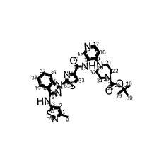 Cc1cc(Nc2nn(-c3nc(C(=O)Nc4cnccc4N4CCN(C(=O)OC(C)(C)C)CC4)cs3)c3ccccc23)sn1